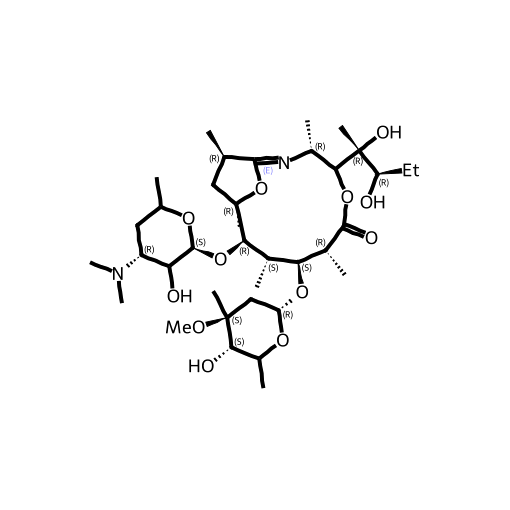 CC[C@@H](O)[C@@](C)(O)C1OC(=O)[C@H](C)[C@@H](O[C@H]2C[C@](C)(OC)[C@@H](O)C(C)O2)[C@H](C)[C@@H](O[C@@H]2OC(C)C[C@@H](N(C)C)C2O)[C@@]2(C)C[C@@H](C)/C(=N\[C@@H]1C)O2